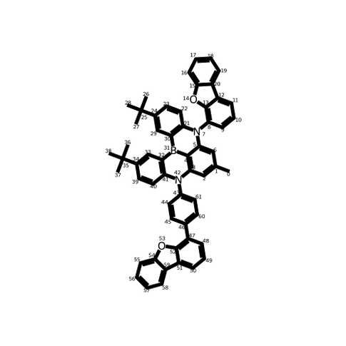 Cc1cc2c3c(c1)N(c1cccc4c1oc1ccccc14)c1ccc(C(C)(C)C)cc1B3c1cc(C(C)(C)C)ccc1N2c1ccc(-c2cccc3c2oc2ccccc23)cc1